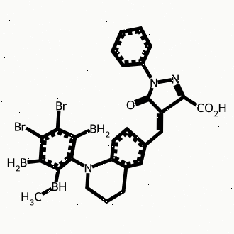 Bc1c(Br)c(Br)c(B)c(N2CCCc3cc(/C=C4\C(=O)N(c5ccccc5)N=C4C(=O)O)ccc32)c1BC